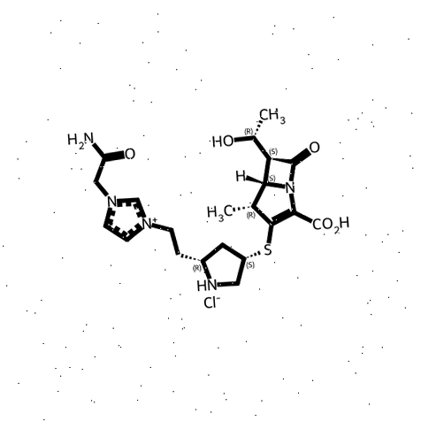 C[C@@H](O)[C@H]1C(=O)N2C(C(=O)O)=C(S[C@@H]3CN[C@H](CC[n+]4ccn(CC(N)=O)c4)C3)[C@H](C)[C@H]12.[Cl-]